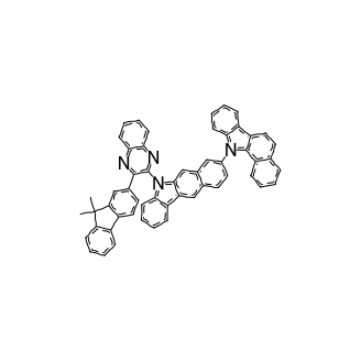 CC1(C)c2ccccc2-c2ccc(-c3nc4ccccc4nc3-n3c4ccccc4c4cc5ccc(-n6c7ccccc7c7ccc8ccccc8c76)cc5cc43)cc21